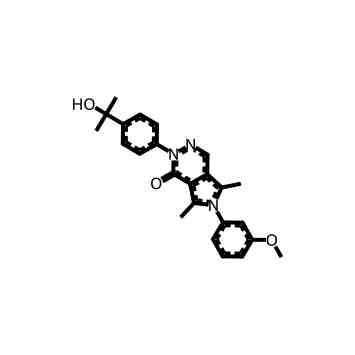 COc1cccc(-n2c(C)c3cnn(-c4ccc(C(C)(C)O)cc4)c(=O)c3c2C)c1